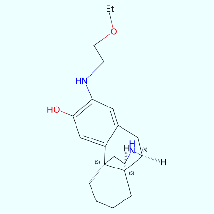 CCOCCNc1cc2c(cc1O)[C@]13CCCC[C@@H]1[C@H](C2)NCC3